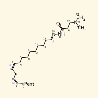 CCCCC/C=C\C/C=C\CCCCCCCCC=NNC(=O)CCN(C)C